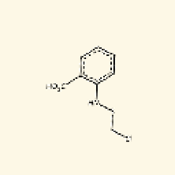 O=C(O)c1ccccc1NSCCl